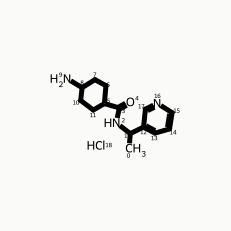 CC(NC(=O)C1CCC(N)CC1)c1cccnc1.Cl